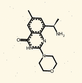 Cc1cc([C@@H](C)N)c2nc(N3CCOCC3)[nH]c(=O)c2c1